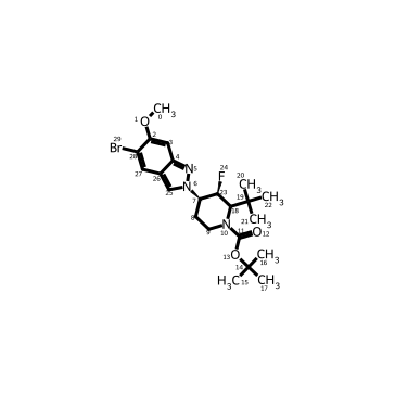 COc1cc2nn([C@@H]3CCN(C(=O)OC(C)(C)C)C(C(C)(C)C)[C@@H]3F)cc2cc1Br